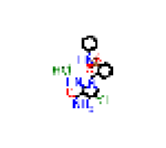 Cl.N=c1c(C(N)=O)cc(Cl)cn1Cc1ccccc1S(=O)(=O)Nc1ccccc1